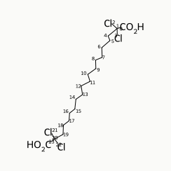 O=C(O)C(Cl)(Cl)CCCCCCCCCCCCCCCCC(Cl)(Cl)C(=O)O